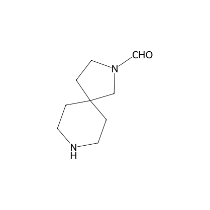 O=CN1CCC2(CCNCC2)C1